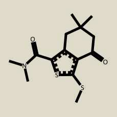 CSc1sc(C(=O)N(C)C)c2c1C(=O)CC(C)(C)C2